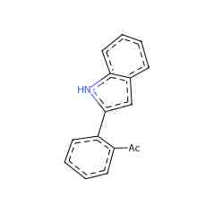 CC(=O)c1ccccc1-c1cc2ccccc2[nH]1